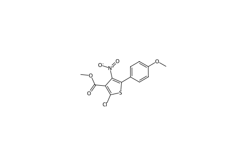 COC(=O)c1c(Cl)sc(-c2ccc(OC)cc2)c1[N+](=O)[O-]